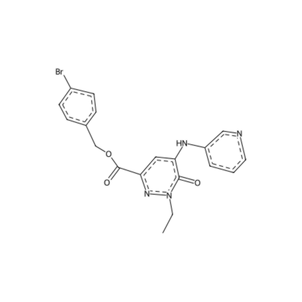 CCn1nc(C(=O)OCc2ccc(Br)cc2)cc(Nc2cccnc2)c1=O